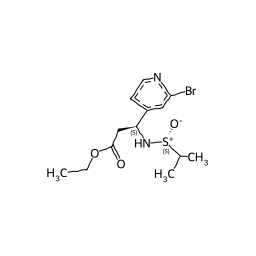 CCOC(=O)C[C@H](N[S@+]([O-])C(C)C)c1ccnc(Br)c1